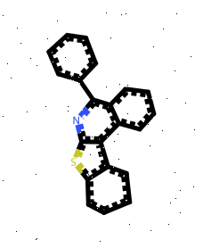 c1ccc(-c2nc3sc4ccccc4c3c3ccccc23)cc1